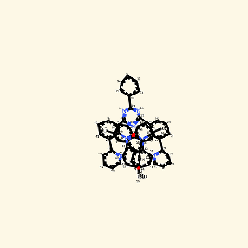 CC(C)(C)c1ccc2c(c1)c1cc(C(C)(C)C)ccc1n2-c1c(-c2ccccn2)cccc1-c1nc(-c2ccccc2)nc(-c2cccc(-c3ccccn3)c2-n2c3ccc(C(C)(C)C)cc3c3cc(C(C)(C)C)ccc32)n1